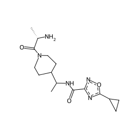 CC(NC(=O)c1noc(C2CC2)n1)C1CCN(C(=O)[C@H](C)N)CC1